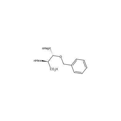 CCCCCCC[C@H](OCc1ccccc1)[C@H](CCCCCC)C(=O)O